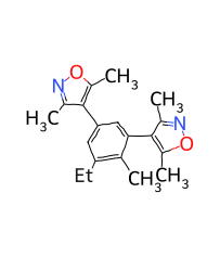 CCc1cc(-c2c(C)noc2C)cc(-c2c(C)noc2C)c1C